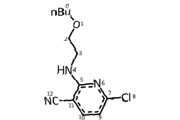 CCCCOCCNc1nc(Cl)ccc1C#N